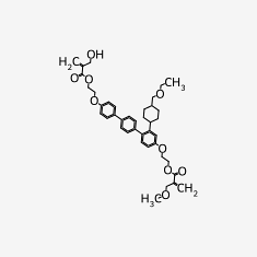 C=C(CO)C(=O)OCCOc1ccc(-c2ccc(-c3ccc(OCCOC(=O)C(=C)COC)cc3C3CCC(COCC)CC3)cc2)cc1